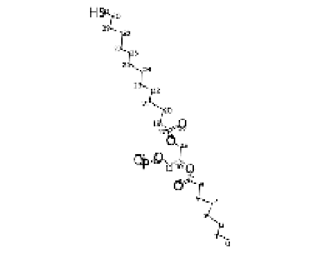 CCCCCCCC(=O)O[C@H](COP=O)COC(=O)CCCCCCCCCCCCS